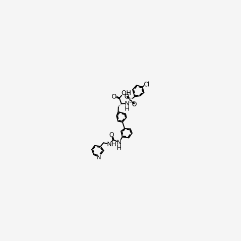 O=C(NCc1cccnc1)Nc1cccc(-c2ccc(C[C@@H](NS(=O)(=O)c3ccc(Cl)cc3)C(=O)O)cc2)c1